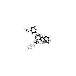 CCOCCNc1nc(-c2cccc(O)c2)nc2c1oc1ncccc12